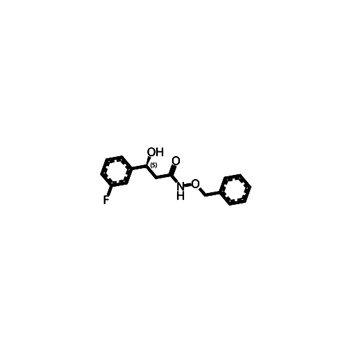 O=C(C[C@H](O)c1cccc(F)c1)NOCc1ccccc1